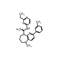 C=C(Nc1ccnc(CC)n1)N1CCCN(C)c2ccc(-c3cccc(C)c3)nc21